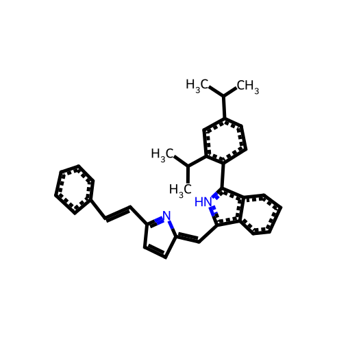 CC(C)c1ccc(-c2[nH]c(/C=C3/C=CC(/C=C/c4ccccc4)=N3)c3ccccc23)c(C(C)C)c1